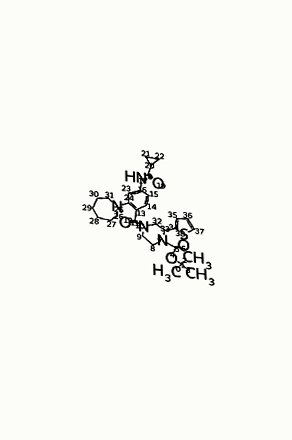 CC(C)(C)OC(=O)N1CCN(C(=O)c2ccc(NC(=O)C3CC3)cc2N2CCCCCC2)CC1c1cccs1